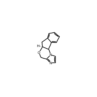 c1ccc2c(c1)C[C@@H]1OCc3nccn3C21